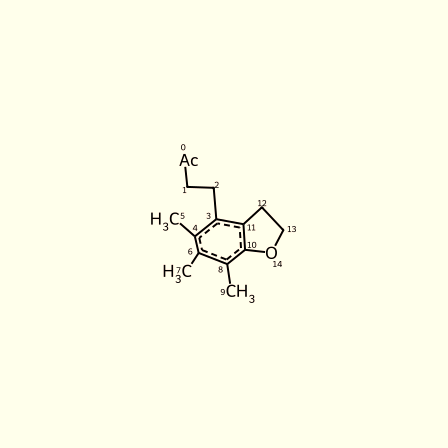 CC(=O)CCc1c(C)c(C)c(C)c2c1CCO2